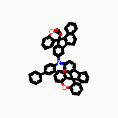 c1ccc(-c2ccc(N(c3ccc4c(c3)-c3ccc5ccccc5c3C43c4ccccc4Oc4ccccc43)c3ccc4c(c3)C3(c5ccccc5Oc5ccccc53)c3ccccc3-4)cc2)cc1